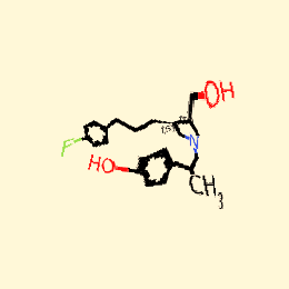 CC(CN1C[C@@H](CCCc2ccc(F)cc2)[C@@H](CO)C1)c1ccc(O)cc1